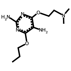 CCCOc1nc(N)nc(OCCN(C)C)c1N